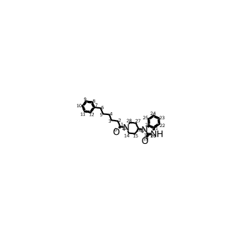 O=C(CCCCCc1ccccc1)N1CCC(n2c(=O)[nH]c3ccccc32)CC1